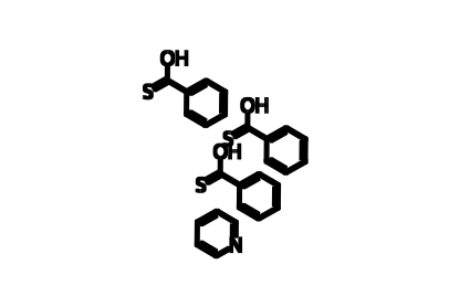 OC(=S)c1ccccc1.OC(=S)c1ccccc1.OC(=S)c1ccccc1.c1ccncc1